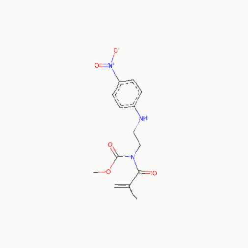 C=C(C)C(=O)N(CCNc1ccc([N+](=O)[O-])cc1)C(=O)OC